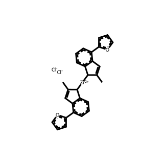 CC1=Cc2c(-c3ccco3)cccc2[CH]1[Zr+2][CH]1C(C)=Cc2c(-c3ccco3)cccc21.[Cl-].[Cl-]